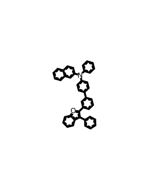 c1ccc(-c2c(-c3cccc(-c4ccc(N(c5ccccc5)c5ccc6ccccc6c5)cc4)c3)oc3ccccc23)cc1